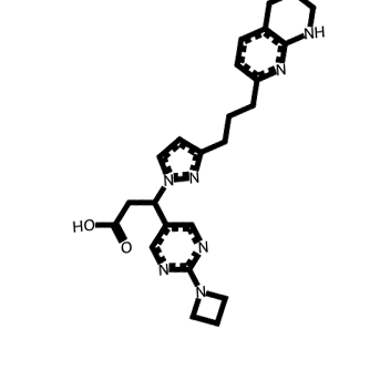 O=C(O)CC(c1cnc(N2CCC2)nc1)n1ccc(CCCc2ccc3c(n2)NCCC3)n1